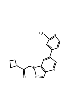 O=C(Cn1ncc2ncc(-c3ccnc(C(F)(F)F)c3)cc21)N1CCC1